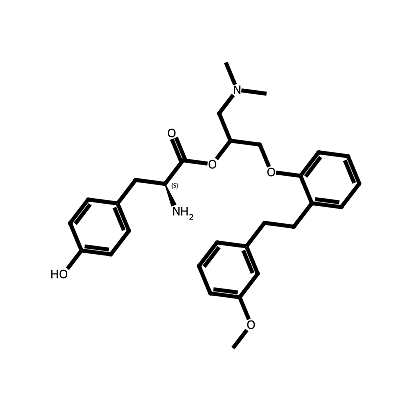 COc1cccc(CCc2ccccc2OCC(CN(C)C)OC(=O)[C@@H](N)Cc2ccc(O)cc2)c1